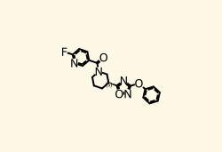 O=C(c1ccc(F)nc1)N1CCC[C@H](c2nc(Oc3ccccc3)no2)C1